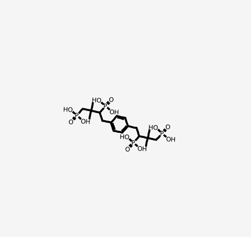 CC(C)(CP(=O)(O)O)C(Cc1ccc(CC(C(C)(C)CP(=O)(O)O)P(=O)(O)O)cc1)P(=O)(O)O